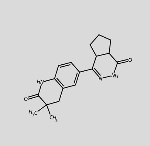 CC1(C)Cc2cc(C3=NNC(=O)C4CCCC34)ccc2NC1=O